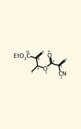 C=C(C#N)C(=O)OC(C)C(=C)C(=O)OCC